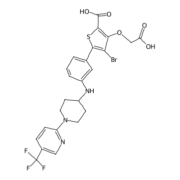 O=C(O)COc1c(C(=O)O)sc(-c2cccc(NC3CCN(c4ccc(C(F)(F)F)cn4)CC3)c2)c1Br